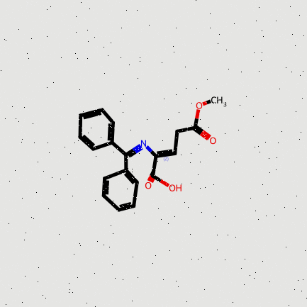 COC(=O)C/C=C(\N=C(c1ccccc1)c1ccccc1)C(=O)O